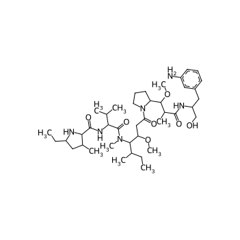 CCC1CC(C)C(C(=O)NC(C(=O)N(C)C(C(C)CC)C(CC(=O)N2CCCC2C(OC)C(C)C(=O)NC(CO)Cc2cccc(N)c2)OC)C(C)C)N1